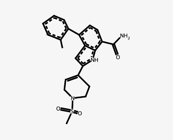 Cc1[c]cccc1-c1ccc(C(N)=O)c2[nH]c(C3=CCN(S(C)(=O)=O)CC3)cc12